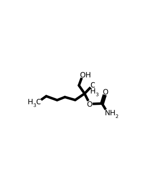 CCCCCC(C)(CO)OC(N)=O